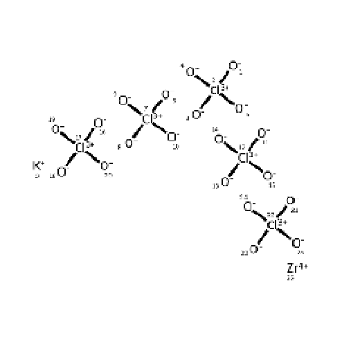 [K+].[O-][Cl+3]([O-])([O-])[O-].[O-][Cl+3]([O-])([O-])[O-].[O-][Cl+3]([O-])([O-])[O-].[O-][Cl+3]([O-])([O-])[O-].[O-][Cl+3]([O-])([O-])[O-].[Zr+4]